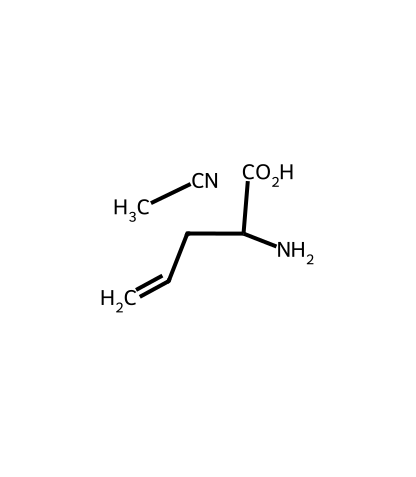 C=CCC(N)C(=O)O.CC#N